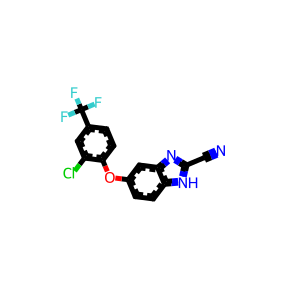 N#Cc1nc2cc(Oc3ccc(C(F)(F)F)cc3Cl)ccc2[nH]1